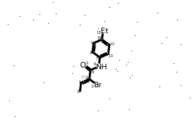 C/C=C(\Br)C(=O)Nc1ccc(CC)cc1